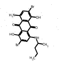 CCCC(C)Nc1cc(Br)c(O)c2c1C(=O)c1c(O)c(Br)cc(N)c1C2=O